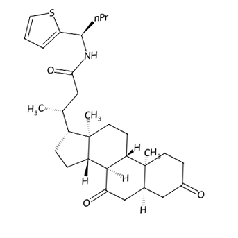 CCC[C@@H](NC(=O)C[C@@H](C)[C@H]1CC[C@H]2[C@@H]3C(=O)C[C@@H]4CC(=O)CC[C@]4(C)[C@H]3CC[C@]12C)c1cccs1